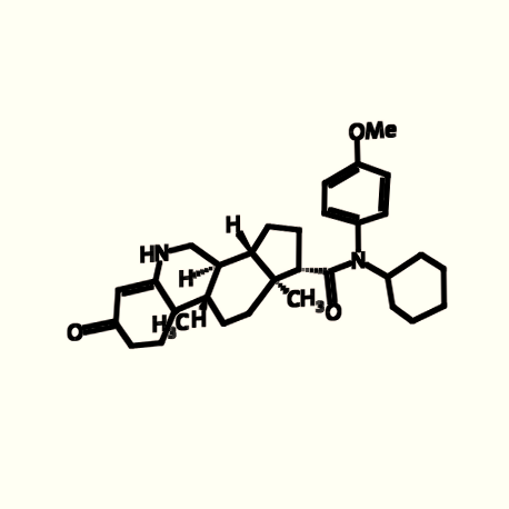 COc1ccc(N(C(=O)[C@H]2CC[C@H]3[C@@H]4CNC5=CC(=O)CC[C@]5(C)[C@H]4CC[C@]23C)C2CCCCC2)cc1